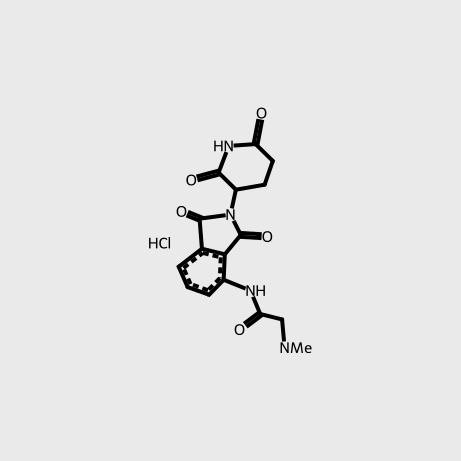 CNCC(=O)Nc1cccc2c1C(=O)N(C1CCC(=O)NC1=O)C2=O.Cl